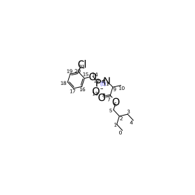 CCC(CC)COC(=O)C(C)/N=[P+](\[O-])Oc1ccccc1Cl